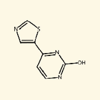 Oc1nccc(-c2cncs2)n1